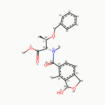 COC(=O)[C@H]([C@@H](C)OCc1ccccc1)N(C)C(=O)c1ccc2c(c1C)B(O)OC2